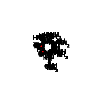 CCCC(=O)N[C@@H](CCCCNC(=O)CC[C@@H]1NC(=O)[C@@H](CCCNC(=N)N)NC(=O)[C@H](CCCNC(=N)N)NC(=O)[C@@H](CCCNC(=N)N)NC(=O)[C@H](CCCNC(=N)N)NC(=O)[C@H](Cc2ccc3ccccc3c2)NC(=O)[C@@H](Cc2ccccc2)NC1=O)C(N)=O